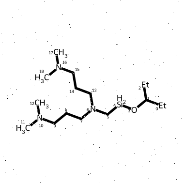 CCC(CC)O[SiH2]CN(CCCN(C)C)CCCN(C)C